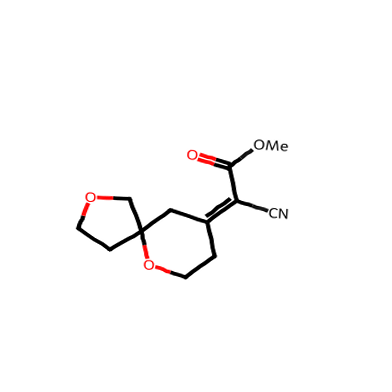 COC(=O)C(C#N)=C1CCOC2(CCOC2)C1